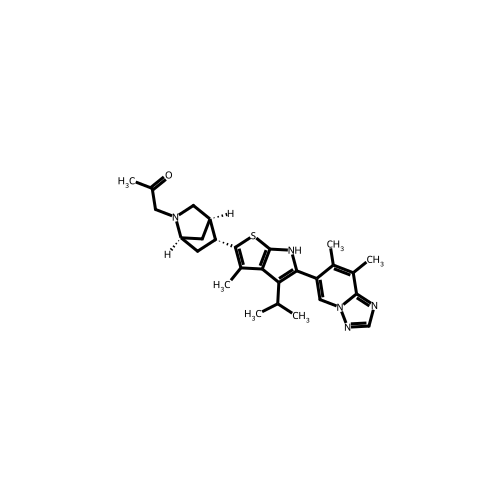 CC(=O)CN1C[C@@H]2C[C@H]1C[C@H]2c1sc2[nH]c(-c3cn4ncnc4c(C)c3C)c(C(C)C)c2c1C